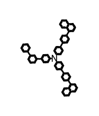 c1ccc(-c2cccc(-c3ccc(N(c4ccc(-c5ccc(-c6cccc7ccccc67)cc5)cc4)c4ccc(-c5ccc(-c6cccc7ccccc67)cc5)cc4)cc3)c2)cc1